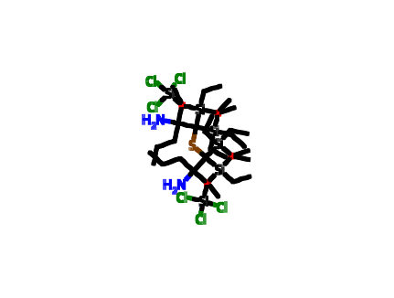 CCCC(N)(C[Si](Cl)(Cl)Cl)C(SC(C(N)(CCC)C[Si](Cl)(Cl)Cl)([Si](CC)(CC)CC)[Si](CC)(CC)CC)([Si](CC)(CC)CC)[Si](CC)(CC)CC